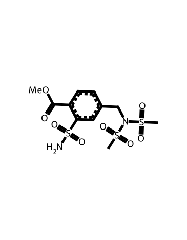 COC(=O)c1ccc(CN(S(C)(=O)=O)S(C)(=O)=O)cc1S(N)(=O)=O